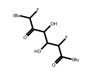 CC(C)(C)C(=O)C(F)C(O)C(O)C(=O)C(F)C(C)(C)C